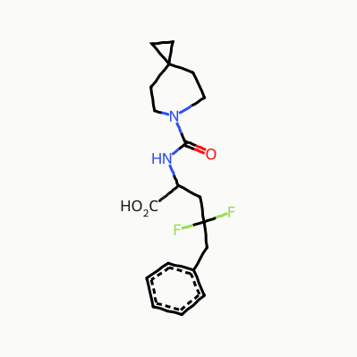 O=C(O)C(CC(F)(F)Cc1ccccc1)NC(=O)N1CCC2(CC1)CC2